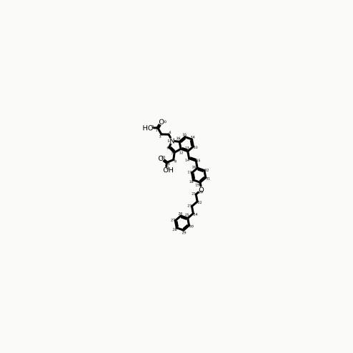 O=C(O)CCn1cc(CC(=O)O)c2c(C=Cc3ccc(OCCCCc4ccccc4)cc3)cccc21